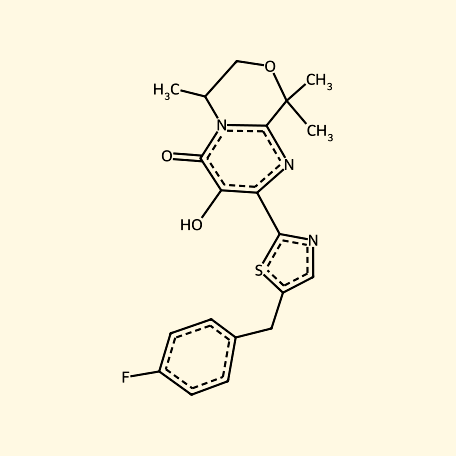 CC1COC(C)(C)c2nc(-c3ncc(Cc4ccc(F)cc4)s3)c(O)c(=O)n21